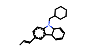 C/C=C/c1ccc2c(c1)C1C=CC=CC1N2CC1CCCCC1